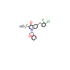 O=C(O)c1cn(C(CO)Cc2ccccc2)c2ccc(Cc3cccc(Cl)c3F)cc2c1=O